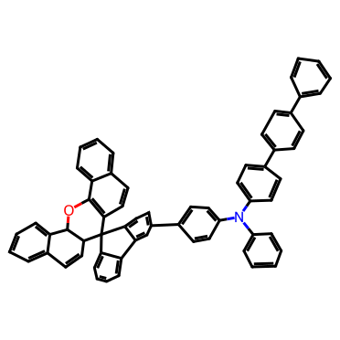 C1=CC2C(Oc3c(ccc4ccccc34)C23c2ccccc2-c2cc(-c4ccc(N(c5ccccc5)c5ccc(-c6ccc(-c7ccccc7)cc6)cc5)cc4)ccc23)c2ccccc21